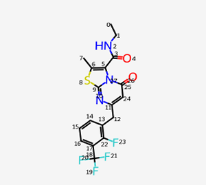 CCNC(=O)c1c(C)sc2nc(Cc3cccc(C(F)(F)F)c3F)cc(=O)n12